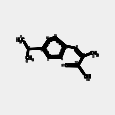 CC(=Cc1ccc(C(C)C)cc1)C(=O)O